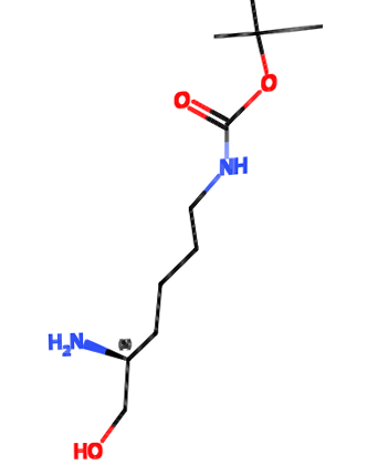 CC(C)(C)OC(=O)NCCCC[C@H](N)CO